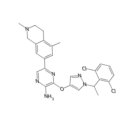 Cc1cc(-c2cnc(N)c(Oc3cnn(C(C)c4c(Cl)cccc4Cl)c3)n2)cc2c1CCN(C)C2